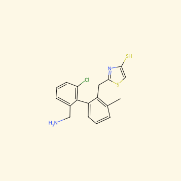 Cc1cccc(-c2c(Cl)cccc2CN)c1Cc1nc(S)cs1